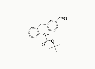 CC(C)(C)OC(=O)Nc1ccccc1Cc1cccc(C=O)c1